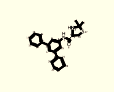 CC1(C)N[C@@H](C(=O)Nc2cc(-c3ccccc3)cc(-c3ccccc3)c2)CS1